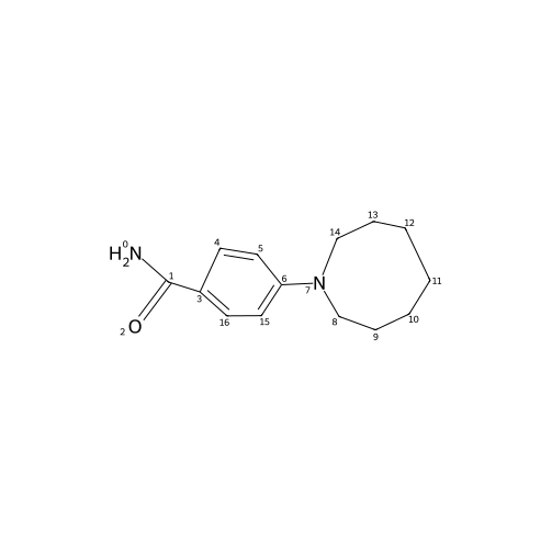 NC(=O)c1ccc(N2CCCCCCC2)cc1